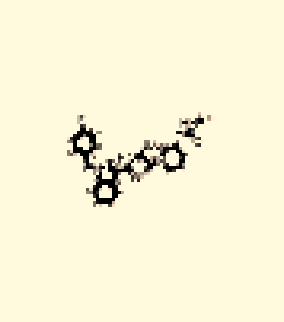 CC(C)NC(=O)OC1CCCN(C(=O)[C@@H](NC(=O)c2nn(Cc3ccc(F)cc3)c3ccccc23)C(C)(C)C)C1